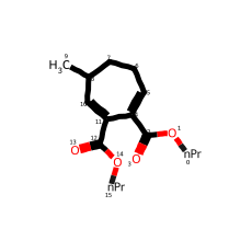 CCCOC(=O)C1=CCCC(C)C=C1C(=O)OCCC